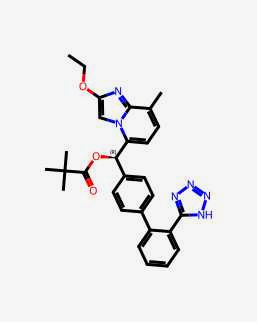 CCOc1cn2c([C@H](OC(=O)C(C)(C)C)c3ccc(-c4ccccc4-c4nnn[nH]4)cc3)ccc(C)c2n1